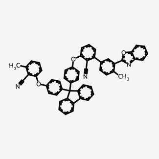 Cc1ccc(-c2cccc(Oc3ccc(C4(c5ccc(Oc6cccc(C)c6C#N)cc5)c5ccccc5-c5ccccc54)cc3)c2C#N)cc1-c1nc2ccccc2o1